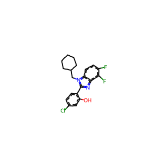 Oc1cc(Cl)ccc1-c1nc2c(F)c(F)ccc2n1CC1CCCCC1